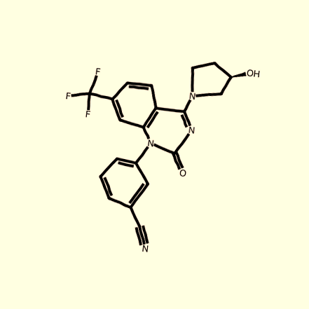 N#Cc1cccc(-n2c(=O)nc(N3CC[C@@H](O)C3)c3ccc(C(F)(F)F)cc32)c1